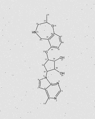 Cc1ncnc2c1ccn2C1CC(Oc2cccc3c2CNCC(C)O3)C(O)C1O